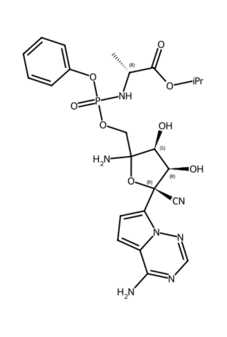 CC(C)OC(=O)[C@@H](C)NP(=O)(OCC1(N)O[C@@](C#N)(c2ccc3c(N)ncnn23)[C@H](O)[C@@H]1O)Oc1ccccc1